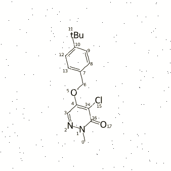 Cn1ncc(OCc2ccc(C(C)(C)C)cc2)c(Cl)c1=O